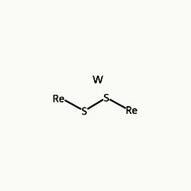 [Re][S][S][Re].[W]